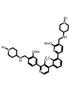 COc1cc(-c2nccc(-c3cccc(-c4ccc(CNC5CCN(C(C)=O)CC5)c(OC)n4)c3C(F)(F)F)c2Cl)ccc1CNC1CCN(C(C)=O)CC1